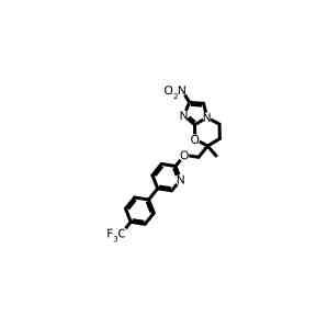 CC1(COc2ccc(-c3ccc(C(F)(F)F)cc3)cn2)CCn2cc([N+](=O)[O-])nc2O1